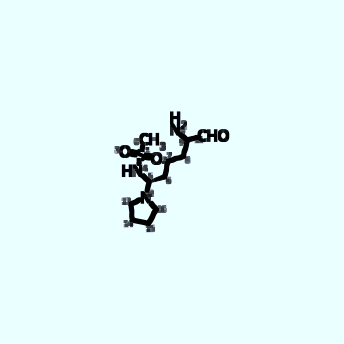 CS(=O)(=O)N[C@@H](CCCC(N)C=O)N1CCCC1